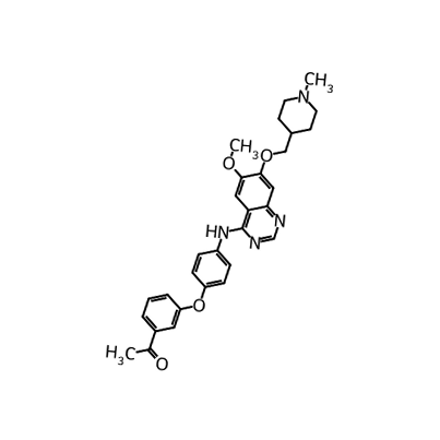 COc1cc2c(Nc3ccc(Oc4cccc(C(C)=O)c4)cc3)ncnc2cc1OCC1CCN(C)CC1